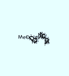 COc1ccc2c(OCc3nnc4ccc(C5=CC(F)N(C)C=C5)nn34)ccnc2c1